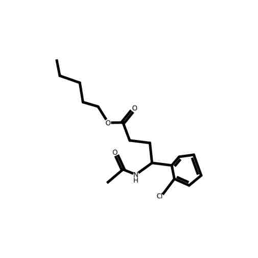 CCCCCOC(=O)CCC(NC(C)=O)c1ccccc1Cl